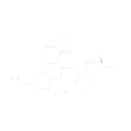 CC(C)(C)OC(=O)Nc1cccnc1CN(Cc1ccc(CN)cc1CO)C1CCCc2cccnc21